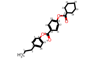 CCCc1ccc(OC(=O)c2ccc(OC(=O)C3CCCCC3)cc2)cc1